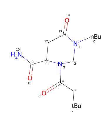 CCCCN1CN(C(=O)CC(C)(C)C)C(C(N)=O)CC1=O